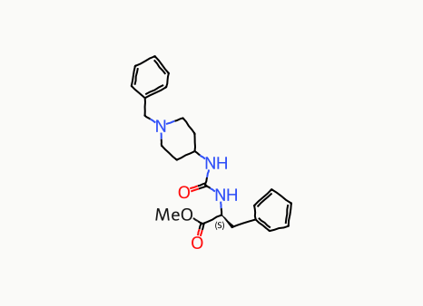 COC(=O)[C@H](Cc1ccccc1)NC(=O)NC1CCN(Cc2ccccc2)CC1